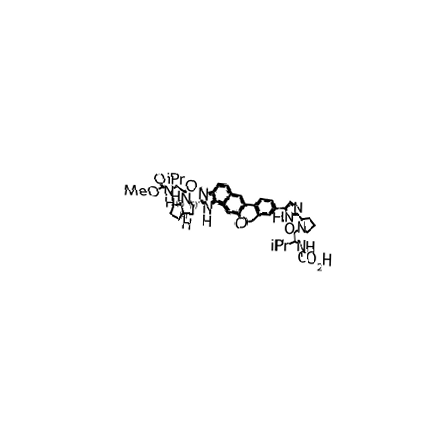 COC(=O)NC(C(=O)N1[C@H](c2nc3ccc4cc5c(cc4c3[nH]2)OCc2cc(-c3cnc(C4CCCN4C(=O)C(NC(=O)O)C(C)C)[nH]3)ccc2-5)C[C@@H]2CCC[C@@H]21)C(C)C